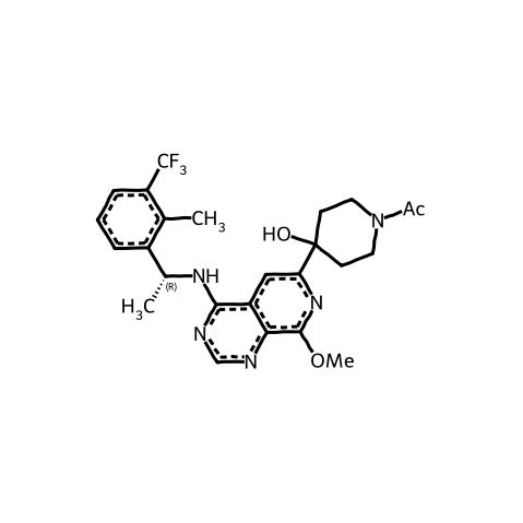 COc1nc(C2(O)CCN(C(C)=O)CC2)cc2c(N[C@H](C)c3cccc(C(F)(F)F)c3C)ncnc12